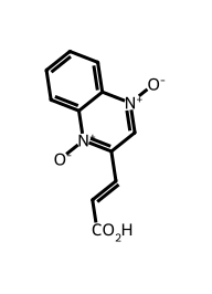 O=C(O)C=Cc1c[n+]([O-])c2ccccc2[n+]1[O-]